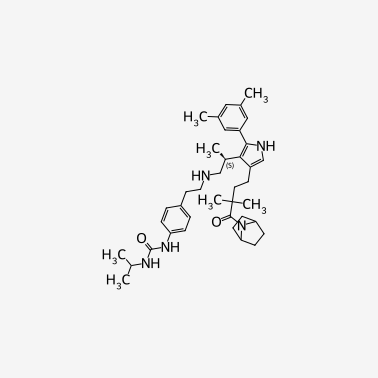 Cc1cc(C)cc(-c2[nH]cc(CCC(C)(C)C(=O)N3C4CCC3CC4)c2[C@H](C)CNCCc2ccc(NC(=O)NC(C)C)cc2)c1